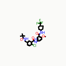 COc1ccc(NC(=O)c2cc(CNC(=O)C(C)(C)C)ccc2Cl)cc1C(=O)NC1CCC(C(F)(F)F)CC1